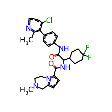 Cc1nccc(Cl)c1-c1ccc(NC(=O)C(NC(=O)c2ccc3n2CCN(C)C3)C2CCC(F)(F)CC2)cc1